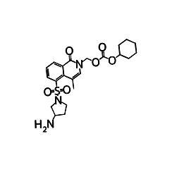 Cc1cn(COC(=O)OC2CCCCC2)c(=O)c2cccc(S(=O)(=O)N3CCC(N)C3)c12